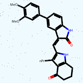 CCCc1c(/C=C2\C(=O)Nc3ccc(-c4ccc(OC)c(OC)c4)cc32)[nH]c2c1C(=O)CCC2